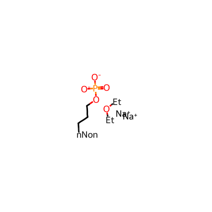 CCCCCCCCCCCCOP(=O)([O-])[O-].CCOCC.[Na+].[Na+]